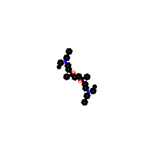 CC(C)(C)c1cccc(N(c2ccc(-c3ccccc3)cc2)c2ccc3cc(-c4oc5c(ccc6c5ccc5c(-c7ccccc7)c(-c7ccc8cc(N(c9ccc(-c%10ccccc%10)cc9)c9cccc(C(C)(C)C)c9)ccc8c7)oc56)c4-c4ccccc4)ccc3c2)c1